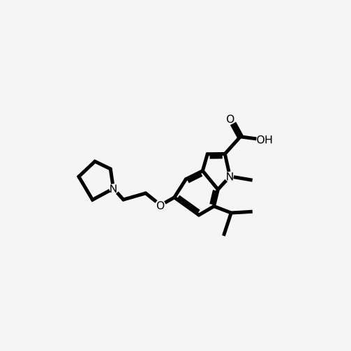 CC(C)c1cc(OCCN2CCCC2)cc2cc(C(=O)O)n(C)c12